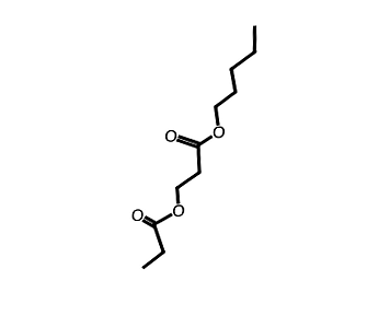 CCCCCOC(=O)CCOC(=O)CC